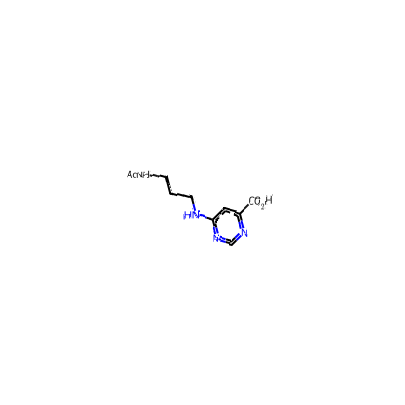 CC(=O)NCCCNc1cc(C(=O)O)ncn1